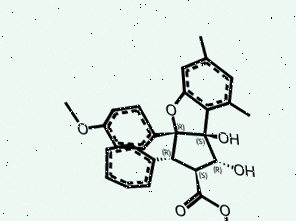 COC(=O)[C@@H]1[C@@H](O)[C@@]2(O)c3c(C)cc(C)cc3O[C@@]2(c2ccc(OC)cc2)[C@H]1c1ccccc1